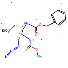 CCOC(=O)C[C@H](NC(=O)OCc1ccccc1)[C@@H](CN=[N+]=[N-])NC(=O)OC(C)(C)C